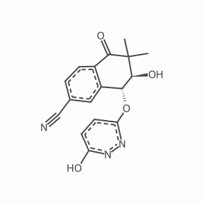 CC1(C)C(=O)c2ccc(C#N)cc2[C@@H](Oc2ccc(O)nn2)[C@@H]1O